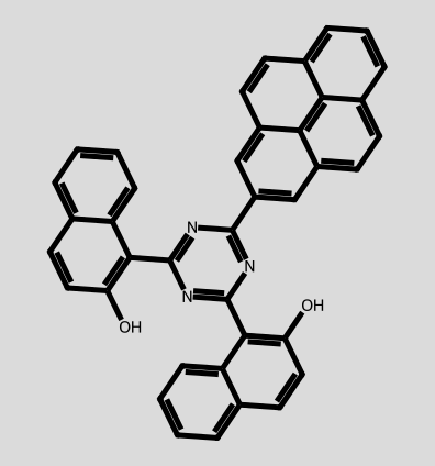 Oc1ccc2ccccc2c1-c1nc(-c2cc3ccc4cccc5ccc(c2)c3c45)nc(-c2c(O)ccc3ccccc23)n1